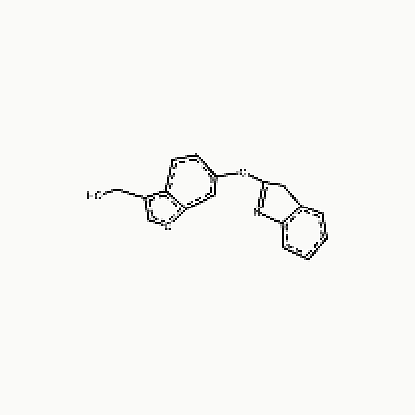 OCc1coc2cc(OC3=Nc4ccccc4C3)ccc12